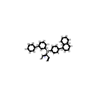 C=C/C(=C\C)N(c1ccc(-c2cccc3ccccc23)cc1)c1cccc(-c2ccccc2)c1